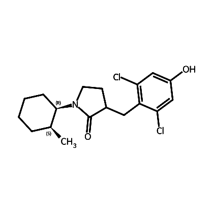 C[C@H]1CCCC[C@H]1N1CCC(Cc2c(Cl)cc(O)cc2Cl)C1=O